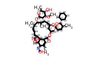 CO[C@H]1C[C@H](O[C@@H]2/C(C)=C/C[C@@H]3CC(C[C@]4(C=C[C@H](C)[C@@H](C5CCCCC5)O4)O3)OC(=O)C3C=C(C)/C(=N\O)[C@H]4OC/C(=C\C=C\[C@@H]2C)[C@@]34O)O[C@@H](C)[C@@H]1O